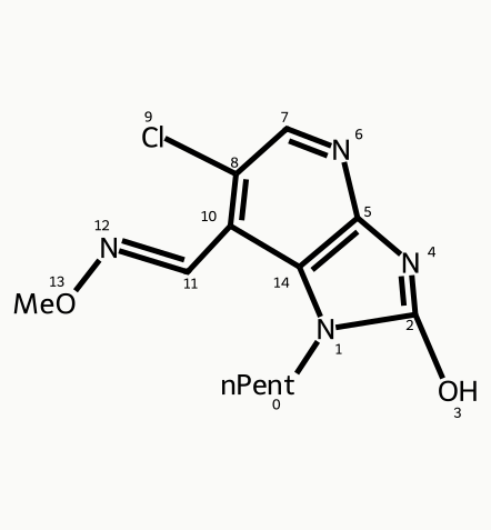 CCCCCn1c(O)nc2ncc(Cl)c(/C=N/OC)c21